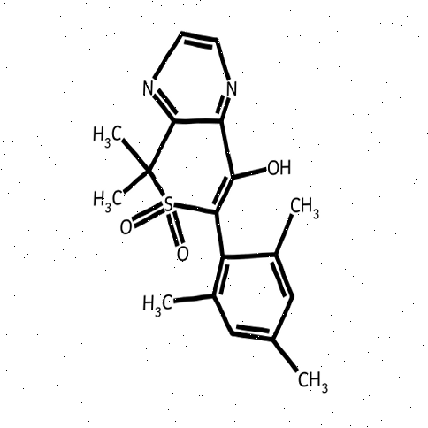 Cc1cc(C)c(C2=C(O)c3nccnc3C(C)(C)S2(=O)=O)c(C)c1